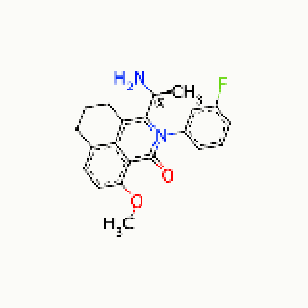 COc1ccc2c3c(c([C@H](C)N)n(-c4cccc(F)c4)c(=O)c13)CCC2